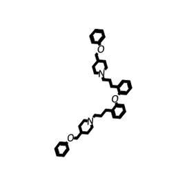 c1ccc(OCC2CCN(CCCc3ccccc3Oc3ccccc3CCCN3CCC(COc4ccccc4)CC3)CC2)cc1